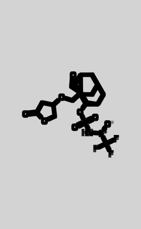 O=CC1(COC2COC(=O)C2)C2CC3CC(CC(C3)C1OS(=O)(=O)N[S+]([O-])C(F)(F)F)C2